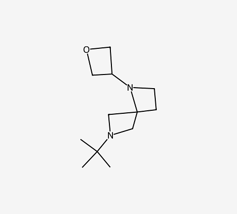 CC(C)(C)N1CC2(CCN2C2COC2)C1